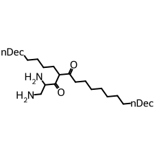 CCCCCCCCCCCCCCCCCC(=O)C(CCCCCCCCCCCCCC)C(=O)C(N)CN